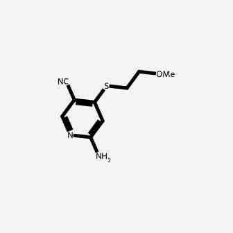 COCCSc1cc(N)ncc1C#N